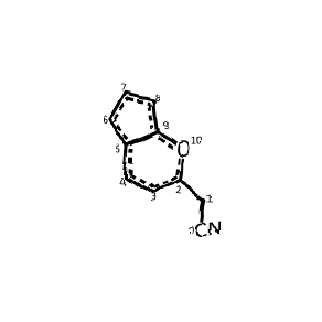 N#CCc1ccc2cccc-2o1